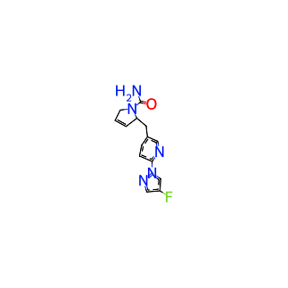 NC(=O)N1CC=CC1Cc1ccc(-n2cc(F)cn2)nc1